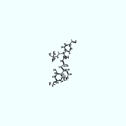 C=Cc1ccc(C(CCC(C)(F)F)N/C=C(C)/C=C(\C=C/CC)c2ccc(C(F)(F)F)cc2C)cc1